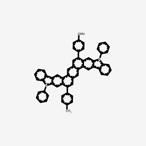 COc1ccc(-c2cc3cc4c(cc(-c5ccc(C)cc5)c5cc6c(cc54)c4ccccc4n6-c4ccccc4)cc3c3cc4c5ccccc5n(-c5ccccc5)c4cc23)cc1